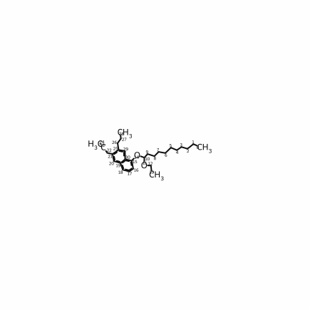 CCCCCCCCCCC(OCC)Oc1cccc2cc(CCC)c(CCC)cc12